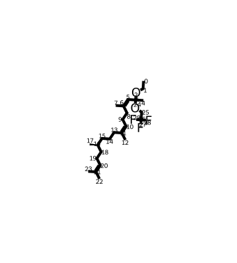 CCOC(C)(C=C(C)CCC=C(C)CCC[C@H](C)CCC=C(C)C)OCC(F)(F)F